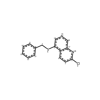 Clc1ccc2c(SCc3ccccc3)cncc2n1